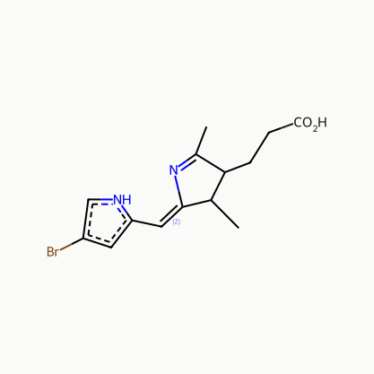 CC1=N/C(=C\c2cc(Br)c[nH]2)C(C)C1CCC(=O)O